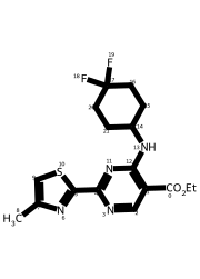 CCOC(=O)c1cnc(-c2nc(C)cs2)nc1NC1CCC(F)(F)CC1